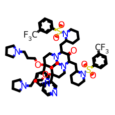 O=C(C(CC1CCCCN1S(=O)(=O)c1cccc(C(F)(F)F)c1)N1CCC(OCCCN2CCCC2)(c2cccnc2)CC1)C(CC1CCCCN1S(=O)(=O)c1cccc(C(F)(F)F)c1)N1CCC(OCCCN2CCCC2)(c2cccnc2)CC1